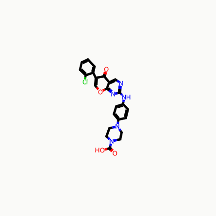 O=C(O)N1CCN(c2ccc(Nc3ncc4c(=O)c(-c5ccccc5Cl)coc4n3)cc2)CC1